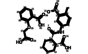 Cc1ccc(NC(=O)[C@H]2CCCC[C@H]2C(=O)O)cc1[N+](=O)[O-].O=C(O)COc1ccccc1C(=O)O